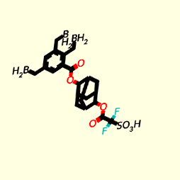 BCc1cc(CB)c(CB)c(C(=O)OC2C3CC4CC2CC(C3)C4OC(=O)C(F)(F)S(=O)(=O)O)c1